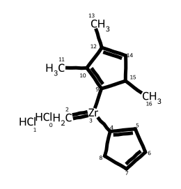 Cl.Cl.[CH2]=[Zr]([C]1=CC=CC1)[C]1=C(C)C(C)=CC1C